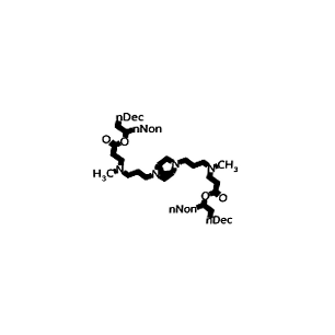 CCCCCCCCCCCC(CCCCCCCCC)OC(=O)CCN(C)CCCN1CC2CC1CN2CCCN(C)CCC(=O)OC(CCCCCCCCC)CCCCCCCCCCC